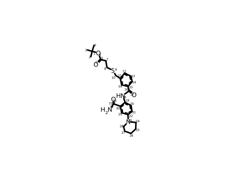 CC(C)(C)OC(=O)CCSCc1cccc(C(=O)Nc2ccc(N3CCCCC3)cc2C(N)=O)c1